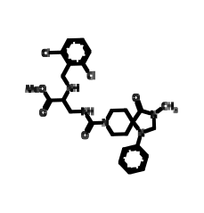 COC(=O)C(CNC(=O)N1CCC2(CC1)C(=O)N(C)CN2c1ccccc1)NCc1c(Cl)cccc1Cl